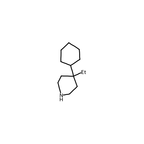 [CH2]CC1(C2CCCCC2)CCNCC1